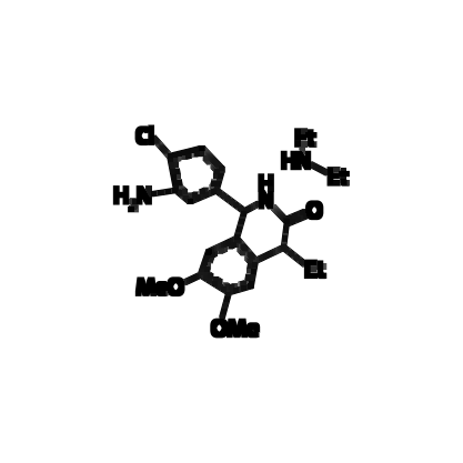 CCC1C(=O)NC(c2ccc(Cl)c(N)c2)c2cc(OC)c(OC)cc21.CCNCC